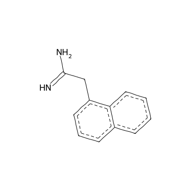 N=C(N)Cc1cccc2ccccc12